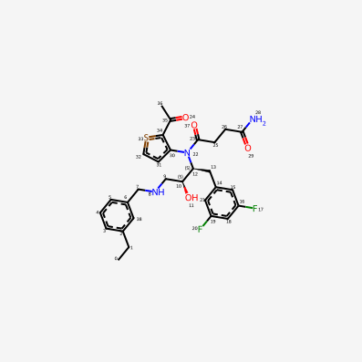 CCc1cccc(CNC[C@H](O)[C@H](Cc2cc(F)cc(F)c2)N(C(=O)CCC(N)=O)c2ccsc2C(C)=O)c1